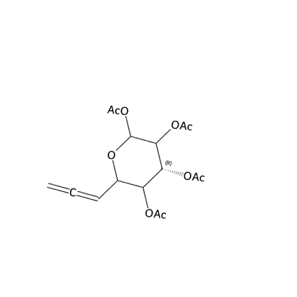 C=C=CC1OC(OC(C)=O)C(OC(C)=O)[C@H](OC(C)=O)C1OC(C)=O